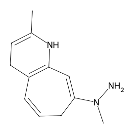 CC1=CCC2=C(C=C(N(C)N)CC=C2)N1